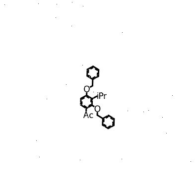 CC(=O)c1ccc(OCc2ccccc2)c(C(C)C)c1OCc1ccccc1